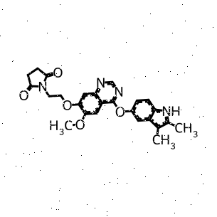 COc1cc2c(Oc3ccc4[nH]c(C)c(C)c4c3)ncnc2cc1OCCN1C(=O)CCC1=O